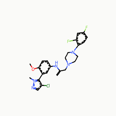 C=C(CN1CCN(c2ccc(F)cc2F)CC1)Nc1ccc(OC)c(-c2c(Cl)cnn2C)c1